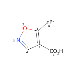 CCCc1oncc1C(=O)O